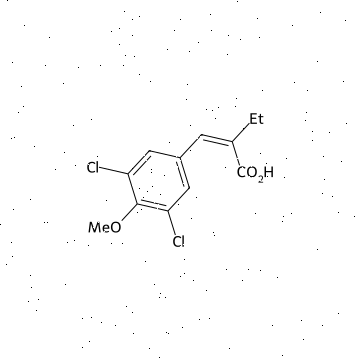 CCC(=Cc1cc(Cl)c(OC)c(Cl)c1)C(=O)O